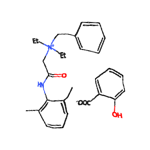 CC[N+](CC)(CC(=O)Nc1c(C)cccc1C)Cc1ccccc1.O=C([O-])c1ccccc1O